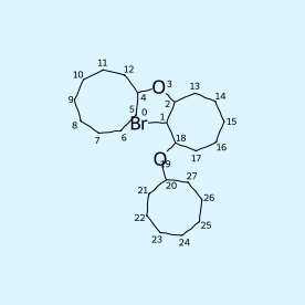 BrC1C(OC2CCCCCCCC2)CCCCCC1OC1CCCCCCC1